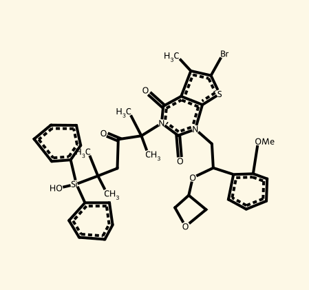 COc1ccccc1C(Cn1c(=O)n(C(C)(C)C(=O)CC(C)(C)[Si](O)(c2ccccc2)c2ccccc2)c(=O)c2c(C)c(Br)sc21)OC1COC1